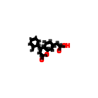 Cc1ccccc1-c1cc(=O)oc2cc(CC(=O)O)ccc12